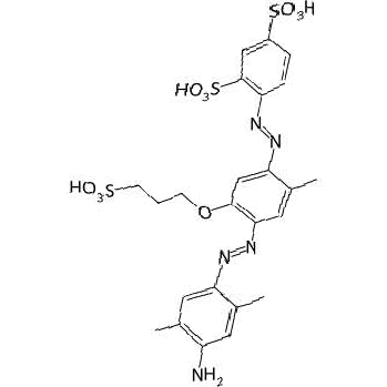 Cc1cc(N=Nc2cc(C)c(N=Nc3ccc(S(=O)(=O)O)cc3S(=O)(=O)O)cc2OCCCS(=O)(=O)O)c(C)cc1N